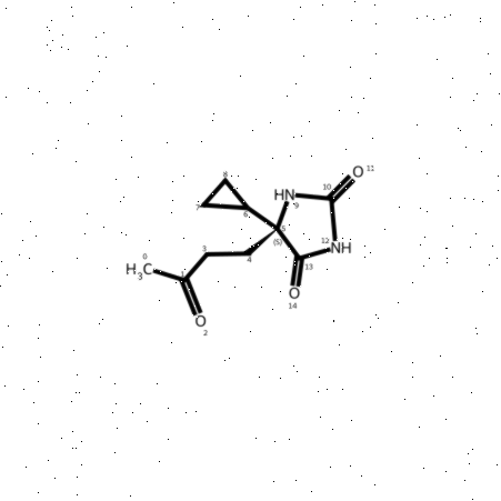 CC(=O)CC[C@@]1(C2CC2)NC(=O)NC1=O